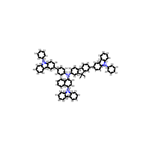 CC1(C)c2cc(-c3ccc4c(c3)c3ccccc3n4-c3ccccc3)ccc2-c2ccc(N(c3ccc(-c4ccc5c(c4)c4ccccc4n5-c4ccccc4)cc3)c3ccc(-n4c5ccccc5c5ccccc54)c4ccccc34)cc21